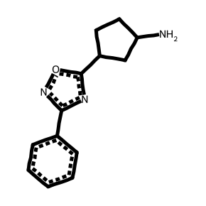 NC1CCC(c2nc(-c3ccccc3)no2)C1